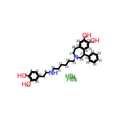 Br.Br.Oc1ccc(CCNCCCCCCN2CCc3cc(O)c(O)cc3C(c3ccccc3)C2)cc1O